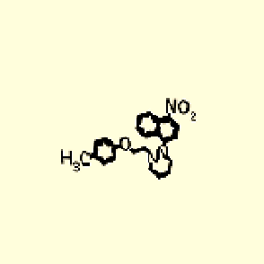 Cc1ccc(OCCN2CCCCN2c2ccc([N+](=O)[O-])c3ccccc23)cc1